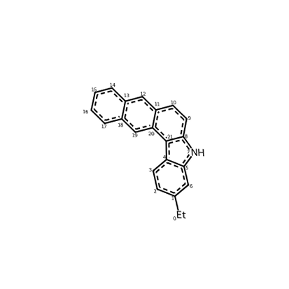 CCc1ccc2c(c1)[nH]c1ccc3cc4ccccc4cc3c12